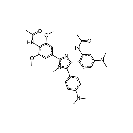 COc1cc(-c2nc(-c3ccc(N(C)C)cc3NC(C)=O)c(-c3ccc(N(C)C)cc3)n2C)cc(OC)c1NC(C)=O